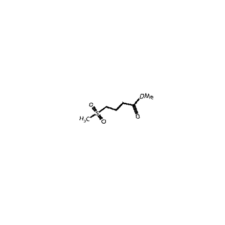 COC(=O)[CH]CCS(C)(=O)=O